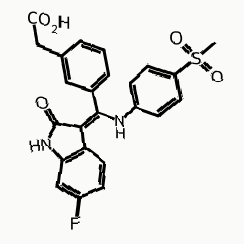 CS(=O)(=O)c1ccc(NC(=C2C(=O)Nc3cc(F)ccc32)c2cccc(CC(=O)O)c2)cc1